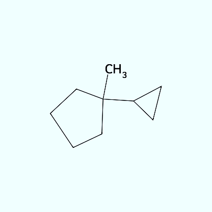 CC1(C2CC2)CCCC1